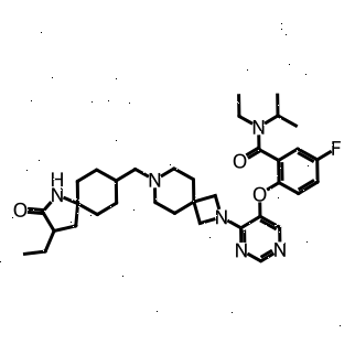 CCC1CC2(CCC(CN3CCC4(CC3)CN(c3ncncc3Oc3ccc(F)cc3C(=O)N(CC)C(C)C)C4)CC2)NC1=O